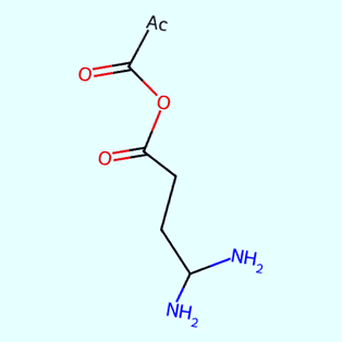 CC(=O)C(=O)OC(=O)CCC(N)N